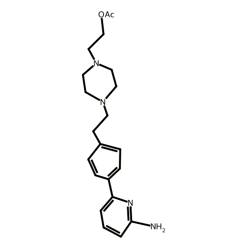 CC(=O)OCCN1CCN(CCc2ccc(-c3cccc(N)n3)cc2)CC1